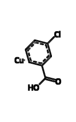 O=C(O)c1cccc(Cl)c1.[Cu]